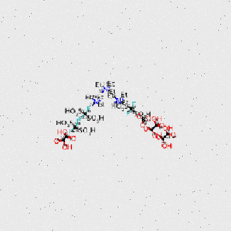 CC[N+](C)(CC)CC.CC[N+](C)(CC)CC.CC[N+](C)(CC)CC.O=C(O)C(=O)O.O=C(O)C(=O)O.O=C(O)C(=O)O.O=S(=O)(O)C(F)(F)S(=O)(=O)O.O=S(=O)(O)C(F)(F)S(=O)(=O)O.O=S(=O)(O)C(F)(F)S(=O)(=O)O.[O-]B([O-])[O-]